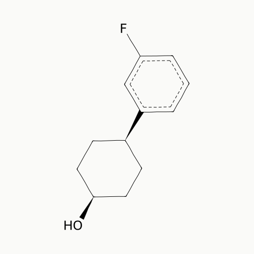 O[C@H]1CC[C@@H](c2cccc(F)c2)CC1